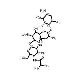 CNC1C(O[C@H]2OC(CO)[C@@H](NC(=O)[C@@H](C)N)[C@@H](O)C2O)O[C@H]2CC(N)[C@@H](O[C@H]3C(N)C[C@@H](N)C(O)[C@H]3O)OC2C1O